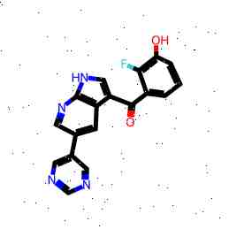 O=C(c1cccc(O)c1F)c1c[nH]c2ncc(-c3cncnc3)cc12